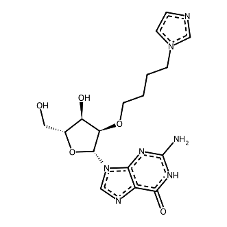 Nc1nc2c(ncn2[C@@H]2O[C@H](CO)[C@@H](O)[C@H]2OCCCCn2ccnc2)c(=O)[nH]1